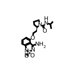 CC(C)NC(=O)N1CCC[C@@H]1CCOc1cccc2c1C(N)=NS(=O)(=O)N2